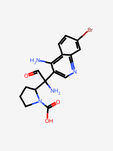 Nc1c(C(N)(C=O)C2CCCN2C(=O)O)cnc2cc(Br)ccc12